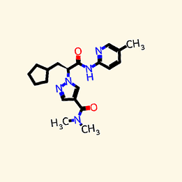 Cc1ccc(NC(=O)[C@H](CC2CCCC2)n2cc(C(=O)N(C)C)cn2)nc1